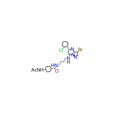 CC(=O)Nc1ccc(C(=O)NCCCCNc2cc(-c3ccccc3Cl)nc3c(Br)cnn23)cc1